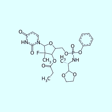 CCC(=O)OC1C(COP(=O)(N[C@@H](C)C2OCCO2)Oc2ccccc2)OC(n2ccc(=O)[nH]c2=O)C1(C)F